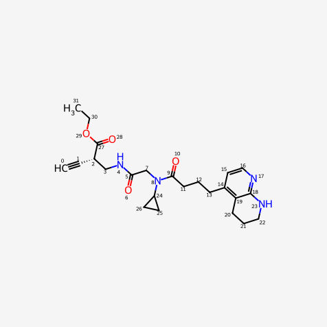 C#C[C@@H](CNC(=O)CN(C(=O)CCCc1ccnc2c1CCCN2)C1CC1)C(=O)OCC